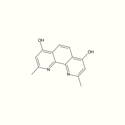 Cc1cc(O)c2ccc3c(O)cc(C)nc3c2n1